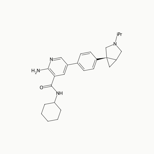 CC(C)N1CC2C[C@]2(c2ccc(-c3cnc(N)c(C(=O)NC4CCCCC4)c3)cc2)C1